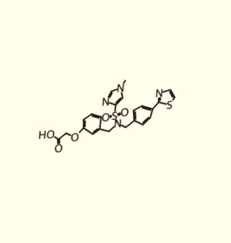 Cn1cnc(S(=O)(=O)N(Cc2ccc(-c3nccs3)cc2)Cc2cccc(OCC(=O)O)c2)c1